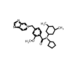 COc1cc(Cn2ccc3ncnc-3c2)ccc1C(=O)N(C1CCCC1)C1CC(C)CC(C)C1